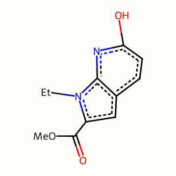 CCn1c(C(=O)OC)cc2ccc(O)nc21